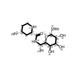 CCC[C@@H]1CCN[C@H](C(=O)N[C@@H](C(C)C)[C@H]2O[C@H](SC)[C@H](O)[C@@H](O)[C@H]2O)C1